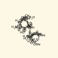 COc1cc2cc(c1Cl)N(C)C(=O)C[C@H](OC(=O)[C@H](C)N(C)C(=O)CCSSCCC(=O)N[C@H](Cc1ccccc1)C(=O)N[C@H]1CSSC[C@@H](C(=O)N[C@H](C(=O)O)[C@@H](C)O)NC(=O)[C@H]([C@@H](C)O)NC(=O)[C@H](CCCCN)NC(=O)[C@@H](Cc3c[nH]c4ccccc34)NC(=O)[C@H](Cc3ccc(O)cc3)NC1=O)[C@]1(C)O[C@H]1[C@H](C)[C@@H]1C[C@@](O)(NC(=O)O1)[C@H](OC)/C=C/C=C(\C)C2